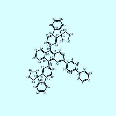 c1ccc(-c2ncc(-c3ccc4c(-c5ccc6c(c5)C5(CCCC5)c5ccccc5-6)c5ccccc5c(-c5ccc6c(c5)C5(CCCC5)c5ccccc5-6)c4c3)cn2)cc1